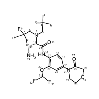 CC(C)(C)CN(CC(F)(F)F)[C@@H](CN)C(=O)Nc1ccc(N2CCOCC2=O)cc1OC(F)F